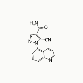 N#Cc1c(C(N)=O)cnn1-c1cccc2ncccc12